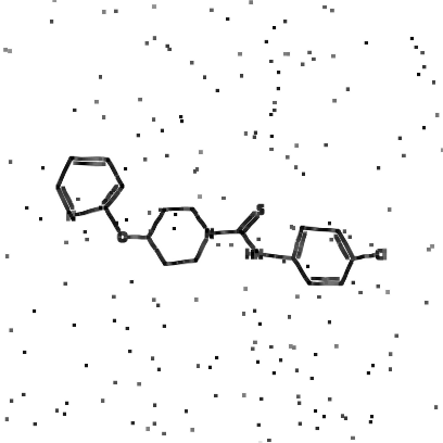 S=C(Nc1ccc(Cl)cc1)N1CCC(Oc2ccccn2)CC1